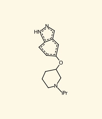 CC(C)N1CCCC(Oc2ccc3[nH]ncc3c2)C1